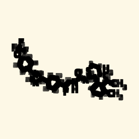 Cc1cccc(N2CCCS/C2=N\C(=O)N/C=C(\F)c2ccc(-c3ncn(-c4ccc(OC(F)(F)F)cc4)n3)cc2)c1C(C)C